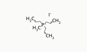 C=CC[P+](C)(CC=C)CC=C.[I-]